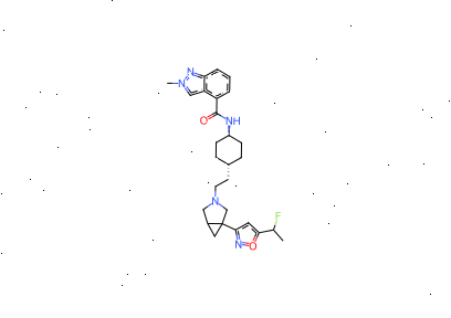 CC(F)c1cc(C23CC2CN(CC[C@H]2CC[C@H](NC(=O)c4cccc5nn(C)cc45)CC2)C3)no1